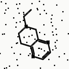 CCN1CCc2nccnc2C1